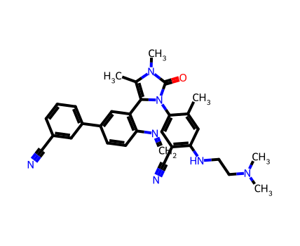 C=Nc1ccc(-c2cccc(C#N)c2)cc1-c1c(C)n(C)c(=O)n1-c1cc(C#N)c(NCCN(C)C)cc1C